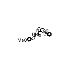 COc1ccc(OCCNC(=O)c2noc3c2CN(S(=O)(=O)c2ccccc2)CC3)cc1